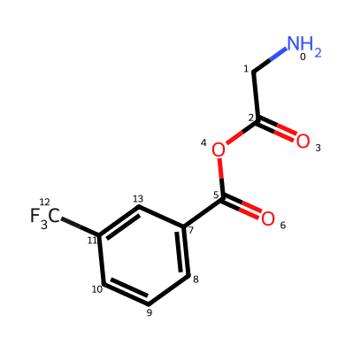 NCC(=O)OC(=O)c1cccc(C(F)(F)F)c1